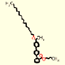 CCCCCCCCCCCCCCCCCCOC(C)c1ccc(-c2ccc(-c3ccccc3C(=O)OCCCC)cc2)cc1